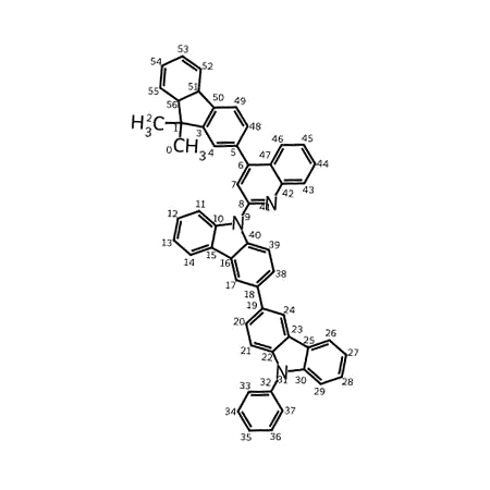 CC1(C)c2cc(-c3cc(-n4c5ccccc5c5cc(-c6ccc7c(c6)c6ccccc6n7-c6ccccc6)ccc54)nc4ccccc34)ccc2C2C=CC=CC21